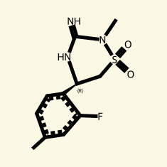 Cc1ccc([C@@H]2CS(=O)(=O)N(C)C(=N)N2)c(F)c1